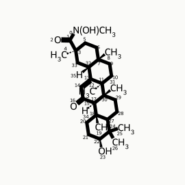 CN(O)C(=O)[C@@]1(C)CC[C@]2(C)CC[C@]3(C)C(=CC(=O)[C@@H]4[C@@]5(C)CC[C@H](O)C(C)(C)C5CC[C@]43C)[C@@H]2C1